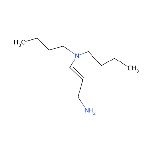 CCCCN(C=CCN)CCCC